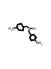 CC(=O)N(Cc1ccc(N)cc1)Cc1ccc(N)cc1